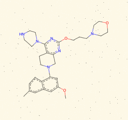 COc1cc(N2CCc3c(nc(OCCCN4CCOCC4)nc3N3CCNCC3)C2)c2ccc(C)cc2c1